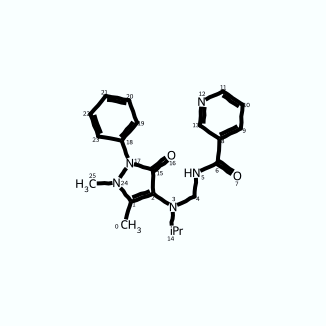 Cc1c(N(CNC(=O)c2cccnc2)C(C)C)c(=O)n(-c2ccccc2)n1C